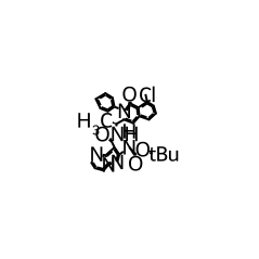 C[C@H](NC(=O)c1c(NC(=O)OC(C)(C)C)nn2cccnc12)c1cc2cccc(Cl)c2c(=O)n1-c1ccccc1